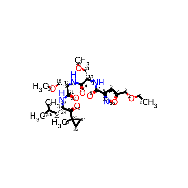 CCOCc1cc(C(=O)N[C@@H](COC)C(=O)N[C@@H](COC)C(=O)N[C@@H](CC(C)C)C(=O)C2(C)CC2)no1